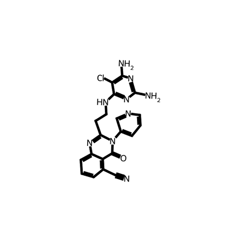 N#Cc1cccc2nc(CCNc3nc(N)nc(N)c3Cl)n(-c3cccnc3)c(=O)c12